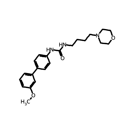 COc1cccc(-c2ccc(NC(=O)NCCCCN3CCOCC3)cc2)c1